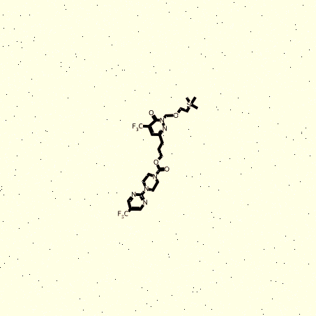 C[Si](C)(C)CCOCn1nc(CCCOC(=O)N2CCN(c3ncc(C(F)(F)F)cn3)CC2)cc(C(F)(F)F)c1=O